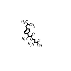 CC(C)Cc1ccc(C(C)C(=O)OCC(N)C(=O)O)cc1